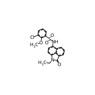 CCN1C(=O)c2cccc3c(NS(=O)(=O)c4cccc(Cl)c4OC)ccc1c23